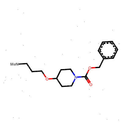 CNCCCOC1CCN(C(=O)OCc2ccccc2)CC1